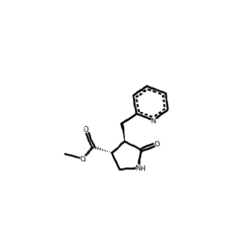 COC(=O)[C@H]1CNC(=O)[C@@H]1Cc1ccccn1